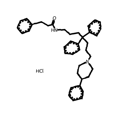 Cl.O=C(CCc1ccccc1)NCCCC(CCCN1CCC(c2ccccc2)CC1)(c1ccccc1)c1ccccc1